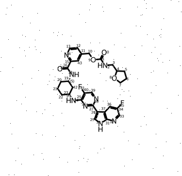 O=C(NCC1CCCO1)OCc1ccnc(C(=O)N[C@H]2CCC[C@@H](Nc3nc(-c4c[nH]c5ncc(F)cc45)ncc3F)C2)c1